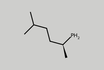 CC(C)CC[C@H](C)P